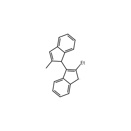 CCC1=C(C2C(C)=Cc3ccccc32)c2ccccc2[CH]1